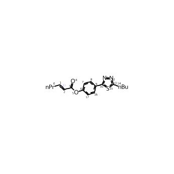 CCC/C=C/C(=O)Oc1ccc(-c2nnc(CCCC)s2)cc1